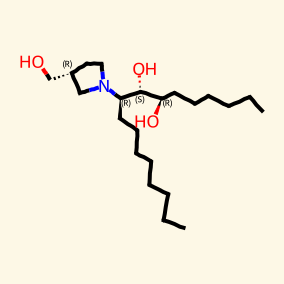 CCCCCCCC[C@H]([C@H](O)[C@H](O)CCCCCC)N1CC[C@@H](CO)C1